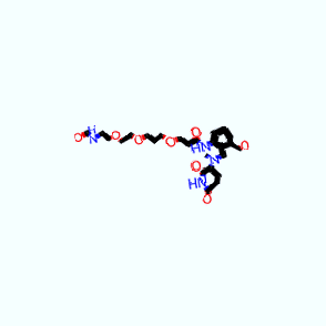 CN(Cc1c(C=O)cccc1NC(=O)CCOCCCOCCOCCNC=O)C1CCC(=O)NC1=O